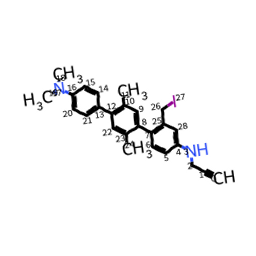 C#CCNc1ccc(-c2cc(C)c(-c3ccc(N(C)C)cc3)cc2C)c(CI)c1